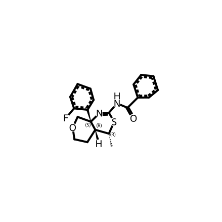 C[C@H]1SC(NC(=O)c2ccccc2)=N[C@@]2(c3ccccc3F)COCC[C@@H]12